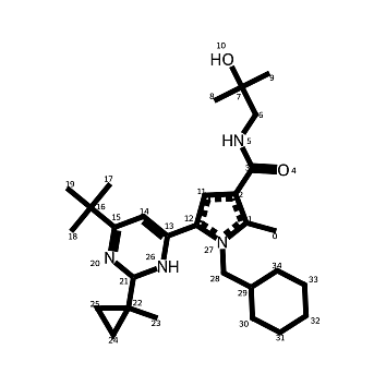 Cc1c(C(=O)NCC(C)(C)O)cc(C2=CC(C(C)(C)C)=NC(C3(C)CC3)N2)n1CC1CCCCC1